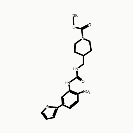 CC(C)(C)OC(=O)N1CCC(CNC(=O)Nc2cc(-c3cccs3)ccc2[N+](=O)[O-])CC1